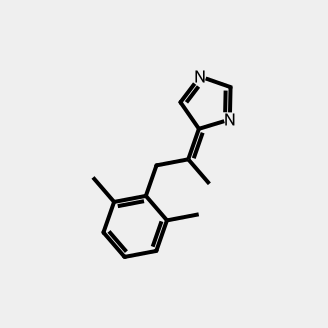 CC(Cc1c(C)cccc1C)=C1C=NC=N1